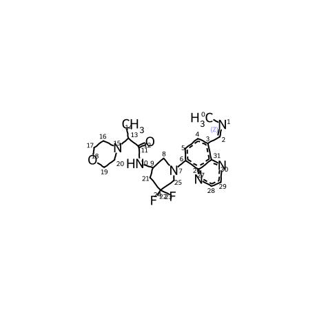 C/N=C\c1ccc(N2CC(NC(=O)C(C)N3CCOCC3)CC(F)(F)C2)c2nccnc12